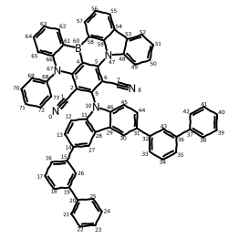 N#Cc1c2c3c(c(C#N)c1-n1c4ccc(-c5cccc(-c6ccccc6)c5)cc4c4cc(-c5cccc(-c6ccccc6)c5)ccc41)-n1c4ccccc4c4cccc(c41)B3c1ccccc1N2c1ccccc1